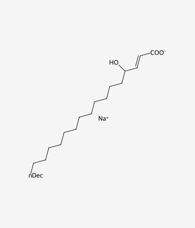 CCCCCCCCCCCCCCCCCCCCCCC(O)C=CC(=O)[O-].[Na+]